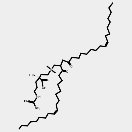 CCCCCCCC/C=C\CCCCCCCC(=O)CC(C[N+](C)(C)CC[C@](N)(CCCNC(=N)N)C(=O)O)C(=O)CCCCCCC/C=C\CCCCCCCC